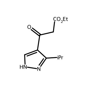 CCOC(=O)CC(=O)c1c[nH]nc1C(C)C